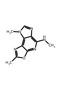 CNc1nc2oc(C)nc2c2c1ncn2C